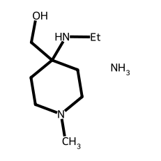 CCNC1(CO)CCN(C)CC1.N